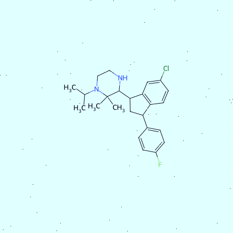 CC(C)N1CCNC(C2CC(c3ccc(F)cc3)c3ccc(Cl)cc32)C1(C)C